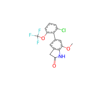 COc1cc(-c2c(Cl)cccc2OC(F)(F)F)cc2c1NC(=O)C2